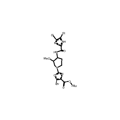 CCCCOC(=O)c1nc(N2CCC(NC(=O)c3nc(Cl)c(CC)[nH]3)C(OC)C2)oc1CCC